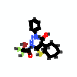 O=C(Nc1ccccc1)c1c(NC(=O)C(F)(F)Br)sc2c1CCCCC2